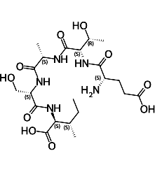 CC[C@H](C)[C@H](NC(=O)[C@H](CO)NC(=O)[C@H](C)NC(=O)[C@@H](NC(=O)[C@@H](N)CCC(=O)O)[C@@H](C)O)C(=O)O